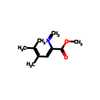 C=N/C(=C\C(C)=C(C)C)C(=O)OC